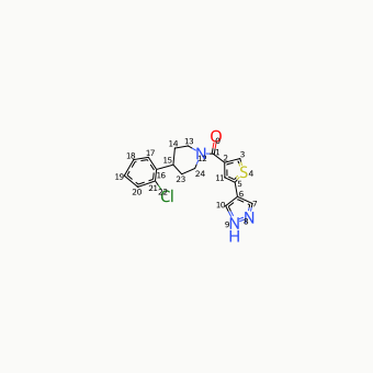 O=C(c1csc(-c2cn[nH]c2)c1)N1CCC(c2ccccc2Cl)CC1